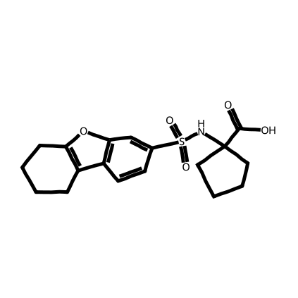 O=C(O)C1(NS(=O)(=O)c2ccc3c4c(oc3c2)CCCC4)CCCC1